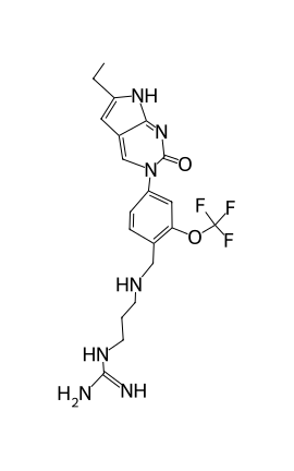 CCc1cc2cn(-c3ccc(CNCCCNC(=N)N)c(OC(F)(F)F)c3)c(=O)nc2[nH]1